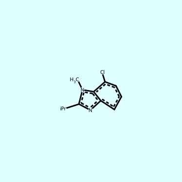 CC(C)c1nc2cccc(Cl)c2n1C